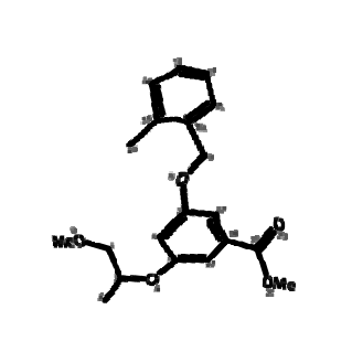 COCC(C)Oc1cc(OCc2ccccc2C)cc(C(=O)OC)c1